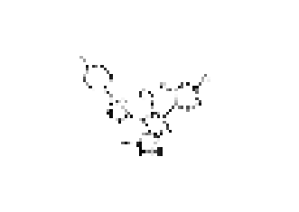 Cc1n[nH]c2nc(-c3ccc(O)cc3F)c(C#N)c(-c3ccc(N4CCC(C)CC4)o3)c12